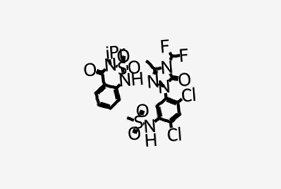 CC(C)N1C(=O)c2ccccc2NS1(=O)=O.Cc1nn(-c2cc(NS(C)(=O)=O)c(Cl)cc2Cl)c(=O)n1C(F)F